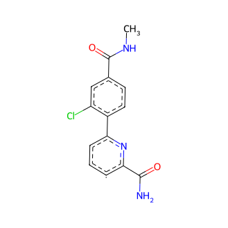 CNC(=O)c1ccc(-c2cc[c]c(C(N)=O)n2)c(Cl)c1